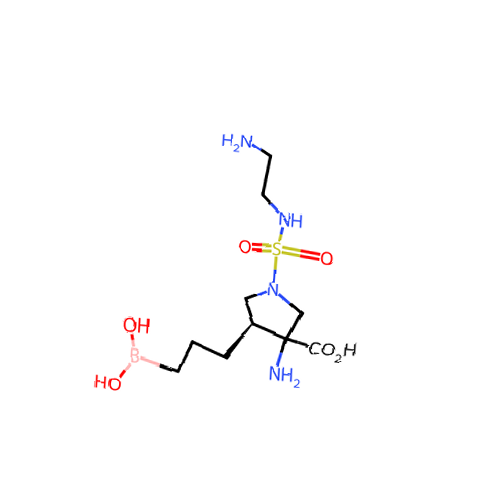 NCCNS(=O)(=O)N1C[C@H](CCCB(O)O)C(N)(C(=O)O)C1